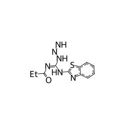 CCC(=O)/N=C(/NN=N)Nc1nc2ccccc2s1